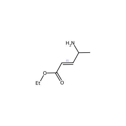 CCOC(=O)/C=C/C(C)N